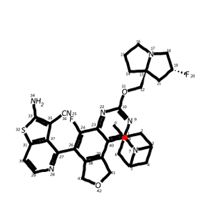 CN1CC2CC(C1)N2c1nc(OC[C@@]23CCCN2C[C@H](F)C3)nc2c(F)c(-c3nccc4sc(N)c(C#N)c34)c3c(c12)COC3